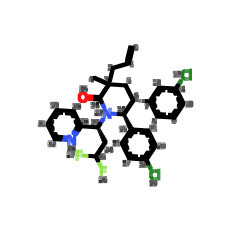 C=CCC1(C)C[C@H](c2cccc(Cl)c2)[C@@H](c2ccc(Cl)cc2)N([C@@H](CC(F)F)c2ccccn2)C1=O